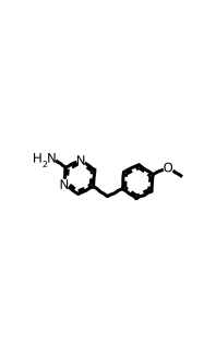 COc1ccc(Cc2cnc(N)nc2)cc1